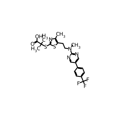 Cc1nc(SC(C)(C)C(=O)O)sc1CCN(C)c1ncc(-c2ccc(C(F)(F)F)cc2)cn1